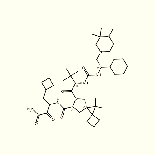 CN1CCN(C[C@@H](NC(=O)N[C@H](C(=O)N2C[C@]3(C[C@H]2C(=O)NC(CC2CCC2)C(=O)C(N)=O)C(C)(C)C32CCC2)C(C)(C)C)C2CCCCC2)CC1(C)C